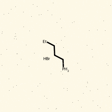 Br.CCCCCP